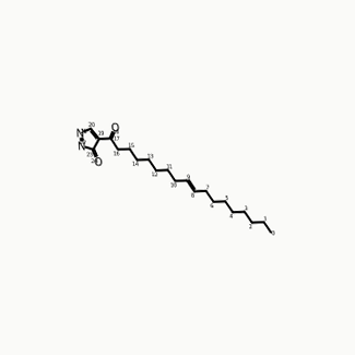 CCCCCCCCC=CCCCCCCCC(=O)C1=CN=NC1=O